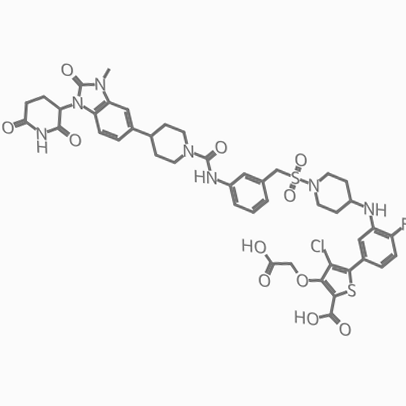 Cn1c(=O)n(C2CCC(=O)NC2=O)c2ccc(C3CCN(C(=O)Nc4cccc(CS(=O)(=O)N5CCC(Nc6cc(-c7sc(C(=O)O)c(OCC(=O)O)c7Cl)ccc6F)CC5)c4)CC3)cc21